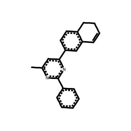 Cc1cc(-c2ccc3c(c2)C=CCC3)nc(-c2ccccc2)n1